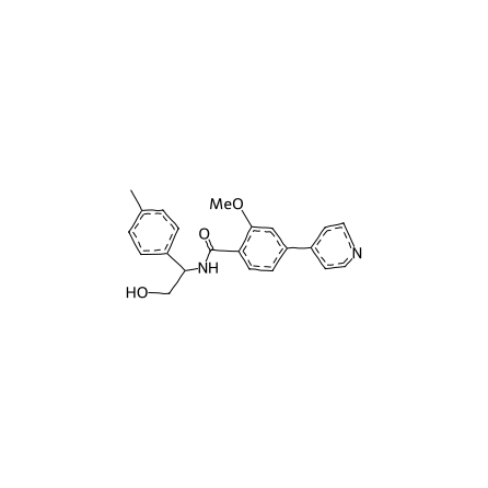 COc1cc(-c2ccncc2)ccc1C(=O)NC(CO)c1ccc(C)cc1